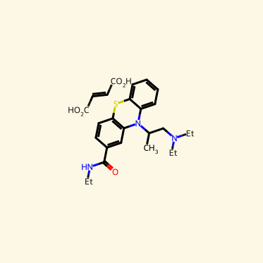 CCNC(=O)c1ccc2c(c1)N(C(C)CN(CC)CC)c1ccccc1S2.O=C(O)C=CC(=O)O